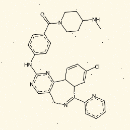 CNC1CCN(C(=O)c2ccc(Nc3ncc4c(n3)C3C=CC(Cl)=CC3C(c3ccccn3)=NC4)cc2)CC1